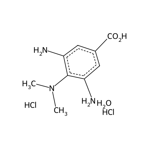 CN(C)c1c(N)cc(C(=O)O)cc1N.Cl.Cl.O